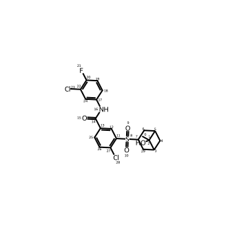 CC1(O)C2CC1CC(S(=O)(=O)c1cc(C(=O)Nc3ccc(F)c(Cl)c3)ccc1Cl)C2